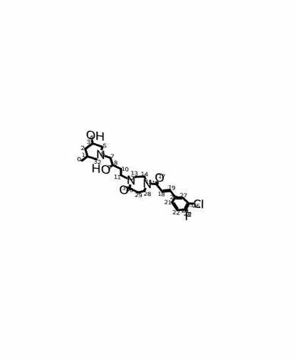 CC1CC(O)CN(CC(O)CCN2CCN(C(=O)C=Cc3ccc(F)c(Cl)c3)CCC2=O)C1